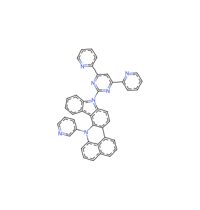 c1ccc(-c2cc(-c3ccccn3)nc(-n3c4ccccc4c4c5c(ccc43)-c3cccc4cccc(c34)N5c3cccnc3)n2)nc1